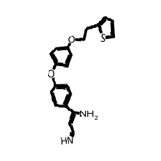 N=C/C=C(\N)c1ccc(Oc2ccc(OCCc3cccs3)cc2)cc1